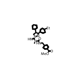 CCc1ccc(C2=NN(C(=N)N(C)C(=O)NCc3ccc(C(=O)OC)cc3)CC2c2ccccc2)cc1